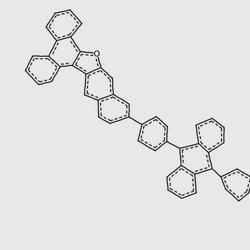 c1ccc(-c2c3ccccc3c(-c3ccc(-c4ccc5cc6c(cc5c4)oc4c5ccccc5c5ccccc5c64)cc3)c3ccccc23)cc1